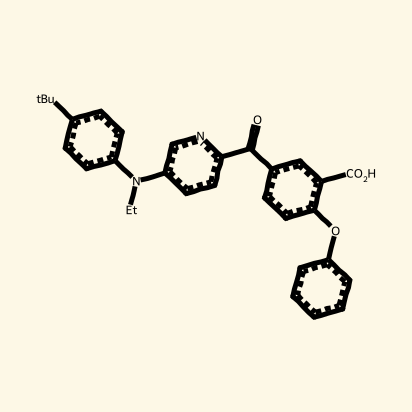 CCN(c1ccc(C(C)(C)C)cc1)c1ccc(C(=O)c2ccc(Oc3ccccc3)c(C(=O)O)c2)nc1